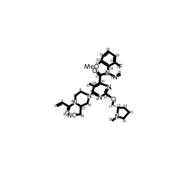 C=CC(=O)N1CCN(c2nc(OC[C@@H]3CCCN3C)nc(C(=O)N(N=C)c3c(F)cccc3OC)c2C)CC1CC#N